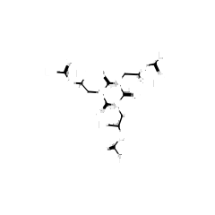 CCC(=O)OC(S)Cn1c(=O)n(CC(S)OC(=O)CC)c(=O)n(CC(S)OC(=O)CC)c1=O